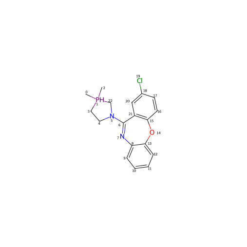 C[PH]1(C)CCN(C2=Nc3ccccc3Oc3ccc(Cl)cc32)C1